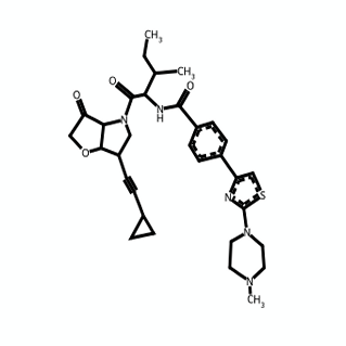 CCC(C)C(NC(=O)c1ccc(-c2csc(N3CCN(C)CC3)n2)cc1)C(=O)N1CC(C#CC2CC2)C2OCC(=O)C21